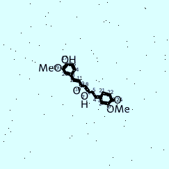 COC1=CC(=CCC(O)=CC(=O)C=Cc2ccc(O)c(OC)c2)C=CC1=O